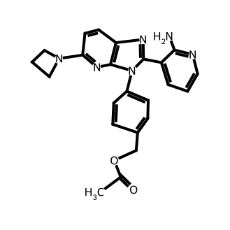 CC(=O)OCc1ccc(-n2c(-c3cccnc3N)nc3ccc(N4CCC4)nc32)cc1